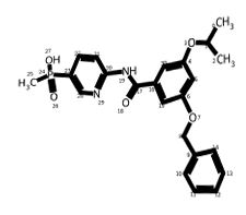 CC(C)Oc1cc(OCc2ccccc2)cc(C(=O)Nc2ccc(P(C)(=O)O)cn2)c1